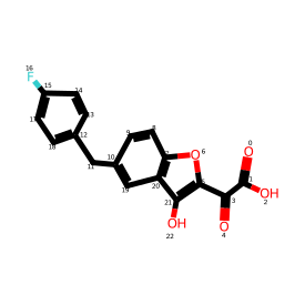 O=C(O)C(=O)c1oc2ccc(Cc3ccc(F)cc3)cc2c1O